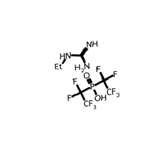 CCNC(=N)N.O=P(O)(C(F)(F)C(F)(F)F)C(F)(F)C(F)(F)F